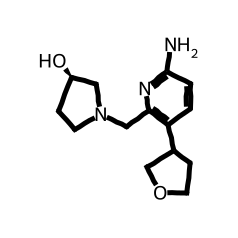 Nc1ccc(C2CCOC2)c(CN2CC[C@@H](O)C2)n1